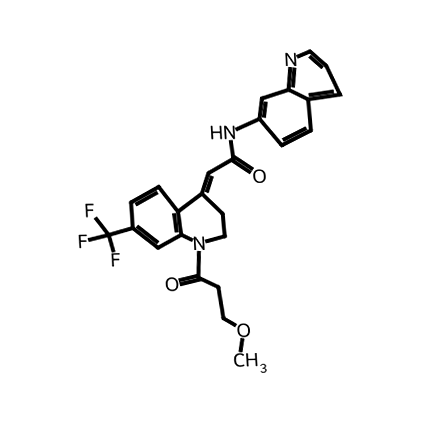 COCCC(=O)N1CC/C(=C\C(=O)Nc2ccc3cccnc3c2)c2ccc(C(F)(F)F)cc21